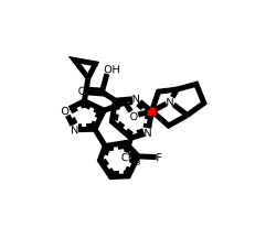 Cc1cc(C(=O)O)nc(N2C3CCC2CC(OCc2c(-c4cccc(F)c4)noc2C2CC2)C3)n1